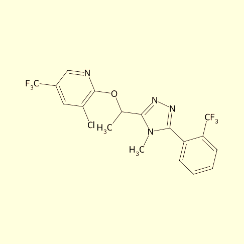 CC(Oc1ncc(C(F)(F)F)cc1Cl)c1nnc(-c2ccccc2C(F)(F)F)n1C